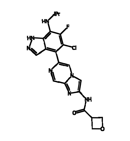 CC(C)Nc1c(F)c(Cl)c(-c2cn3cc(NC(=O)C4COC4)nc3cn2)c2cn[nH]c12